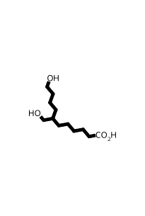 O=C(O)CCCCCC(CO)CCCCO